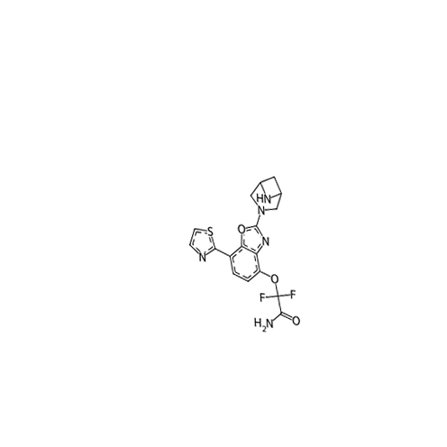 NC(=O)C(F)(F)Oc1ccc(-c2nccs2)c2oc(N3CC4CC(C3)N4)nc12